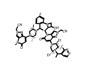 CC[C@H]1CN(C(C)c2ccnnc2C(F)(F)F)[C@H](CC)CN1c1cc(=O)n(CC2C(O)CN2c2cc(F)ccc2C(C)N2C[C@H](C)N(c3cc(=O)n(C)c4cn(CC#N)nc34)C[C@H]2C)c2cn(CC#N)nc12